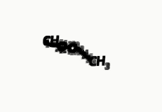 CCC#Cc1ccc(C2CCC(CCCCCCC)CC2)cc1